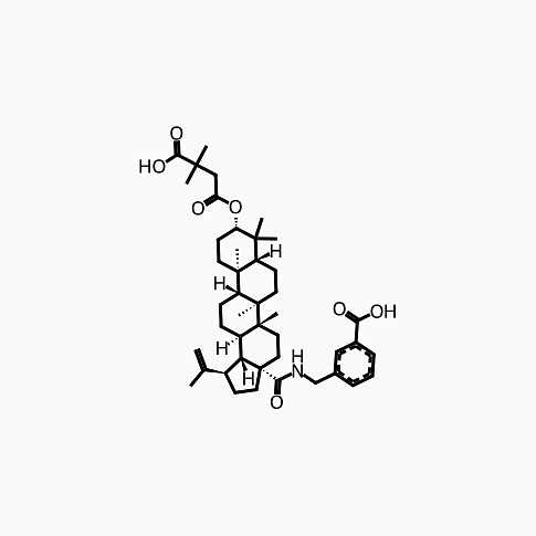 C=C(C)[C@@H]1CC[C@]2(C(=O)NCc3cccc(C(=O)O)c3)CC[C@]3(C)[C@H](CC[C@@H]4[C@@]5(C)CC[C@H](OC(=O)CC(C)(C)C(=O)O)C(C)(C)[C@@H]5CC[C@]43C)[C@@H]12